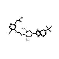 Cc1ccc(CC(=O)O)cc1OCCN1[C@H](C)CN(c2nc3ccc(C(F)(F)F)cc3s2)C[C@@H]1C